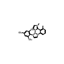 Cc1cccc2c1-c1n(cc[n+]1C)B1N2C=CN1c1c(C(C)(C)C)cc(C(C)(C)C)cc1C(C)(C)C